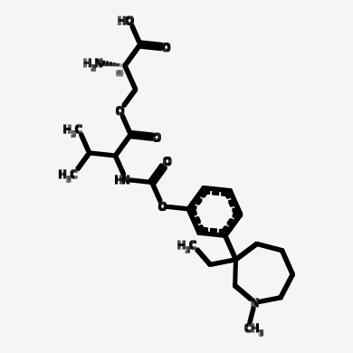 CCC1(c2cccc(OC(=O)NC(C(=O)OC[C@H](N)C(=O)O)C(C)C)c2)CCCCN(C)C1